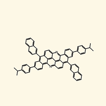 CC(C)c1ccc(-c2ccc3c(c2)c(-c2ccc4ccccc4c2)c2ccc4nc5c6ccc(-c7ccc(C(C)C)cc7)cc6c(-c6ccc7ccccc7c6)c6ccc7nc3c2c4c7c65)cc1